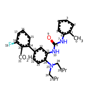 Cc1ccccc1NC(=O)Nc1cc(-c2cccc(F)c2C(=O)O)ccc1N(CC(C)C)CC(C)C